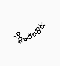 Nc1nnc(-c2ccccc2O)cc1-n1cc(N2CCC(N3CCC(c4cccc5c4OCCN5[C@@H]4CCC(=O)NC4=O)CC3)C(F)(F)C2)cn1